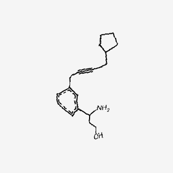 NC(CCO)c1cccc(CC#CCC2CCCC2)c1